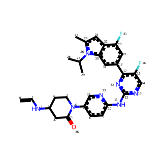 C=CNC1CCN(c2ccc(Nc3ncc(F)c(-c4cc(F)c5cc(C)n(C(C)C)c5c4)n3)nc2)C(=O)C1